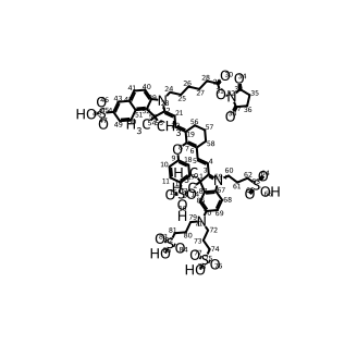 CC1(C)C(/C=C/C2=C(Oc3ccc(S(=O)(=O)O)cc3)C(=C/C=C3/N(CCCCCC(=O)ON4C(=O)CCC4=O)c4ccc5cc(S(=O)(=O)O)ccc5c4C3(C)C)/CCC2)=[N+](CCCS(=O)(=O)O)c2ccc(N(CCCS(=O)(=O)O)CCCS(=O)(=O)O)cc21